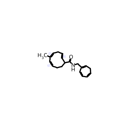 CC1=C/C/C=C/C(C(=O)NCC2=CCC=CC=C2)CC/C=C\1